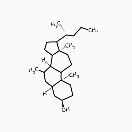 CCC[C@@H](C)C1CCC2[C@@H]3C(C)C[C@@H]4C[C@H](O)CC[C@]4(C)C3CC[C@@]21C